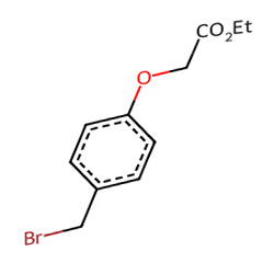 CCOC(=O)COc1ccc(CBr)cc1